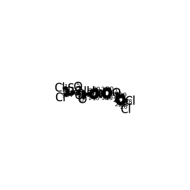 O=C(NS(=O)(=O)c1cc(Cl)c(Cl)s1)C1CCN(N2CCC(Oc3ccc(Cl)c(Cl)c3)CC2)CC1